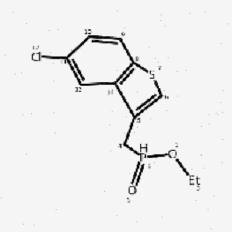 CCO[PH](=O)Cc1csc2ccc(Cl)cc12